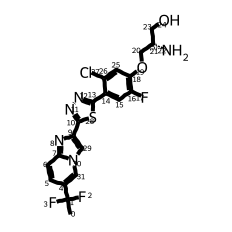 CC(F)(F)c1ccc2nc(-c3nnc(-c4cc(F)c(OC[C@@H](N)CO)cc4Cl)s3)cn2c1